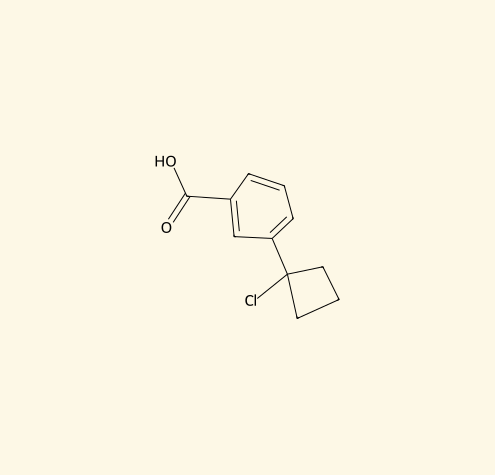 O=C(O)c1cccc(C2(Cl)CCC2)c1